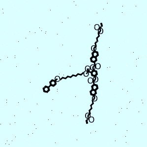 C=CC(=O)OCCCCCCOc1ccc2cc(C(=O)Oc3ccc(OC(=O)c4ccc5cc(OCCCCCCOC(=O)C=C)ccc5c4)c(C(=O)OCCCCCCCCCCOc4ccc(-c5ccccc5)cc4)c3)ccc2c1